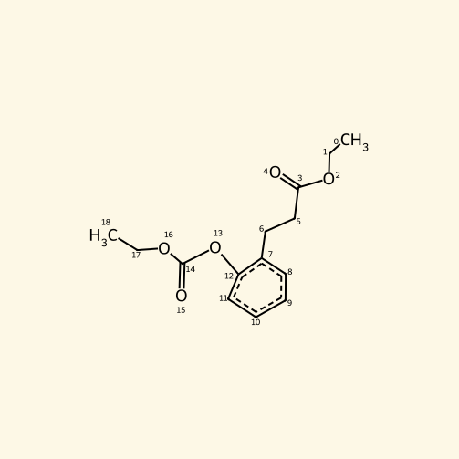 CCOC(=O)CCc1ccccc1OC(=O)OCC